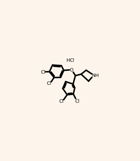 Cl.Clc1ccc(OC(c2ccc(Cl)c(Cl)c2)C2CNC2)cc1Cl